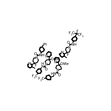 COC1(c2ccccn2)CCN(C(=O)NCc2ccc(C(F)(F)F)cc2)CC1.COC1(c2ccccn2)CCN(C(=O)Nc2ccc(C(F)(F)F)cc2)CC1.Cc1cccnc1C1(F)CCN(C(=O)Nc2ccc(C(C)C)cc2)CC1.Cc1cccnc1C1(F)CCN(C(=O)Nc2ccc(C(F)(C(F)(F)F)C(F)(F)F)cc2)CC1